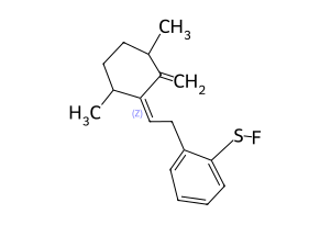 C=C1/C(=C\Cc2ccccc2SF)C(C)CCC1C